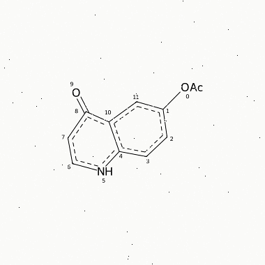 CC(=O)Oc1ccc2[nH]ccc(=O)c2c1